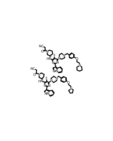 N#CCC(=O)N1CCC[C@@H](Nc2nc(-c3cnn4ccccc34)nc(N3CCN(Cc4ccc(OCCN5CCCC5)cc4)CC3)c2F)C1.N#CCC(=O)N1CCC[C@@H](Nc2nc(-c3cnn4ccccc34)nc(N3CCN(Cc4ccc(OCCN5CCCCC5)cc4)CC3)c2F)C1